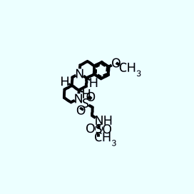 COc1ccc2c(c1)CCN1C[C@H]3CCCN(S(=O)(=O)CCNS(C)(=O)=O)[C@H]3C[C@@H]21